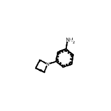 Nc1cccc(N2CCC2)c1